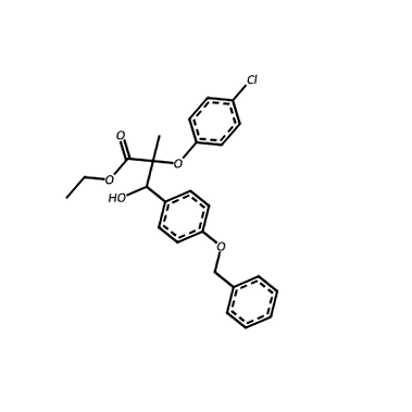 CCOC(=O)C(C)(Oc1ccc(Cl)cc1)C(O)c1ccc(OCc2ccccc2)cc1